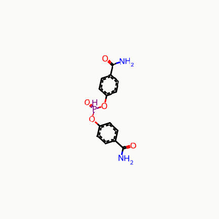 NC(=O)c1ccc(O[PH](=O)Oc2ccc(C(N)=O)cc2)cc1